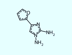 Nc1nc(-c2ccco2)cn1N